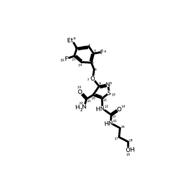 CCc1cc(F)c(COc2nsc(NC(=O)NCCCO)c2C(N)=O)cc1F